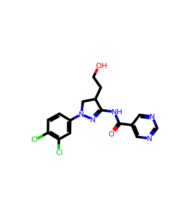 O=C(NC1=NN(c2ccc(Cl)c(Cl)c2)CC1CCO)c1cncnc1